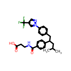 CC(C)CC(Cc1ccc(-n2cc(C(F)(F)F)cn2)cc1)c1ccc(C(=O)NCCC(=O)O)cc1